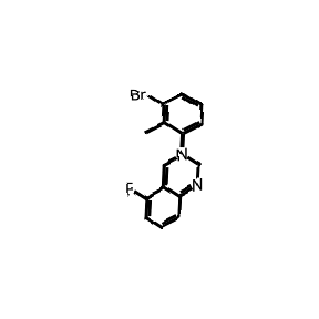 Cc1c(Br)cccc1N1C=c2c(F)cccc2=NC1